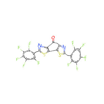 O=C1c2nc(-c3c(F)c(F)c(F)c(F)c3F)sc2-c2sc(-c3c(F)c(F)c(F)c(F)c3F)nc21